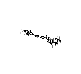 CCc1cc(Nc2ncc(C)c(Nc3ccc4nccnc4c3P(C)(C)=O)n2)c(OC)cc1N1CCC(N2CCN(CCc3cc(F)c([C@@H]4CCC(=O)NC4=O)c(F)c3)CC2)CC1